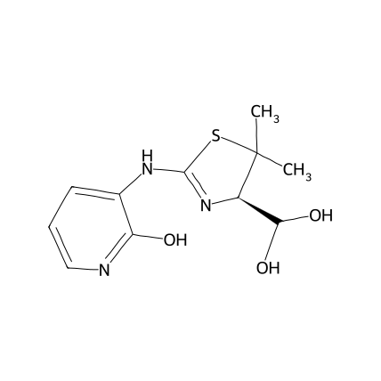 CC1(C)SC(Nc2cccnc2O)=N[C@@H]1C(O)O